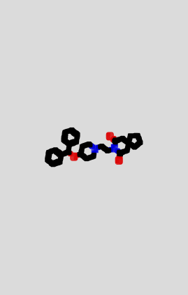 O=C1CC2(CCCC2)CC(=O)N1CCN1CCC(OC(c2ccccc2)c2ccccc2)CC1